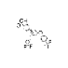 O=C(O)c1ccc(N2C[C@@H](Oc3ccc(C(F)(F)F)cc3)C[C@H]2CCOC(F)F)cc1